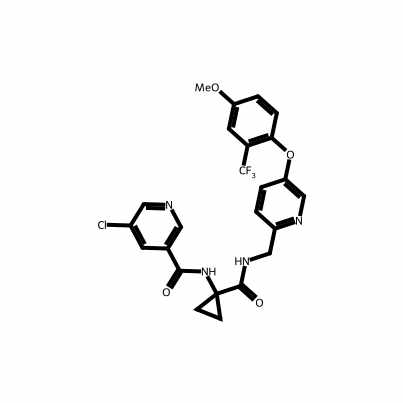 COc1ccc(Oc2ccc(CNC(=O)C3(NC(=O)c4cncc(Cl)c4)CC3)nc2)c(C(F)(F)F)c1